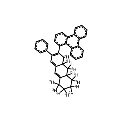 [2H]C1C(c2cccc3c4ccccc4c4ccccc4c23)=C(c2ccccc2)C=C2C=C3C([2H])([2H])C([2H])([2H])C([2H])([2H])C([2H])([2H])C3([2H])C([2H])([2H])C21[2H]